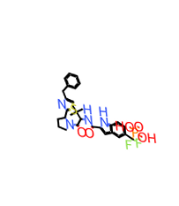 CC(C)(C)C(NC(=O)c1cc2cc(C(F)(F)P(=O)(O)O)ccc2[nH]1)C(=O)N1CCCC1c1nc(Cc2ccccc2)cs1